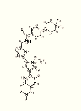 CN1CC[C@@H](Nc2cccc3c2cc(-c2noc(CNC(=O)c4ccc(N5CCC(F)(F)CC5)cc4)n2)n3CC(F)(F)F)[C@@H](F)C1